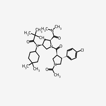 CC(=O)N1C[C@@H](C(=O)N2C[C@@H](N(C(=O)C(C)(C)C)C3CCC(C)(C)CC3)C[C@H]2C(=O)N(C)C)[C@H](c2ccc(Cl)cc2)C1